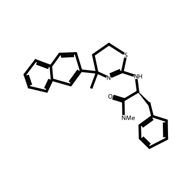 CNC(=O)[C@H](Cc1ccccc1)NC1=NC(C)(c2ccc3ccccc3c2)CCS1